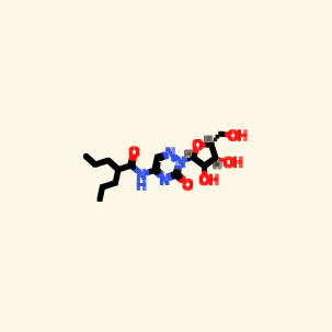 CCCC(CCC)C(=O)Nc1cnn([C@@H]2O[C@H](CO)[C@H](O)C2O)c(=O)n1